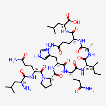 CC[C@H](C)[C@H](NC(=O)[C@H](CCC(N)=O)NC(=O)[C@H](Cc1c[nH]cn1)NC(=O)[C@@H]1CCCN1C(=O)[C@H](CCC(N)=O)NC(=O)[C@@H](N)CC(C)C)C(=O)N[C@@H](C)C(=O)N[C@@H](CCC(N)=O)C(=O)N[C@@H](CC(C)C)C(=O)O